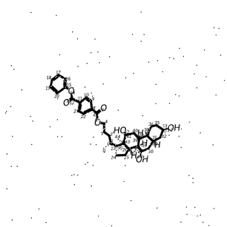 C[C@H](CCCOC(=O)c1ccc(C(=O)Oc2ccccc2)cc1)[C@H]1CC[C@H]2[C@@H]3[C@H](O)C[C@@H]4C[C@H](O)CC[C@]4(C)[C@H]3C[C@H](O)[C@]12C